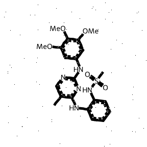 COc1cc(Nc2ncc(C)c(Nc3ccccc3NS(C)(=O)=O)n2)cc(OC)c1OC